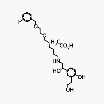 CC(=O)O.OCCc1cc([C@@H](O)CNCCCCCCOCCOCc2cccc(I)c2)ccc1O